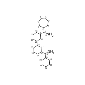 NC(C1CCCCCC1)C1CCCC(C2CCCC(C(N)C3CCCCC3)C2)C1